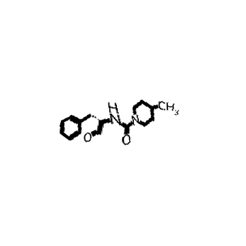 CC1CCN(C(=O)N[C@H](C=O)Cc2ccccc2)CC1